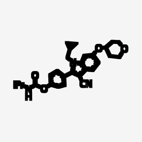 CC(C)NC(=O)Oc1ccc(-c2c(C#N)c3ccc(OC4CCOCC4)cc3n2CC2CC2)cc1